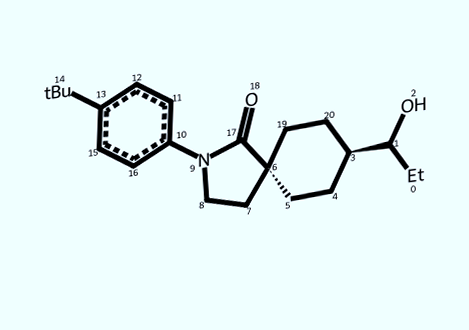 CCC(O)[C@H]1CC[C@@]2(CCN(c3ccc(C(C)(C)C)cc3)C2=O)CC1